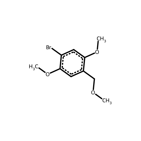 COCc1cc(OC)c(Br)cc1OC